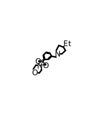 CCC1CCN(Cc2cccc(S(=O)(=O)N3CCOCC3)c2)CC1